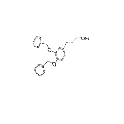 OCCCc1ccc(OCc2ccccc2)c(OCc2ccccc2)c1